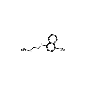 CCCSCCSc1ccc(C(C)(C)C)c2ccccc12